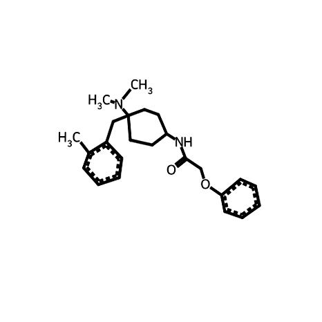 Cc1ccccc1CC1(N(C)C)CCC(NC(=O)COc2ccccc2)CC1